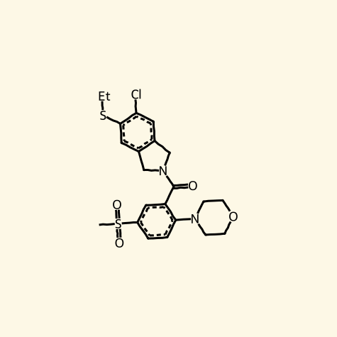 CCSc1cc2c(cc1Cl)CN(C(=O)c1cc(S(C)(=O)=O)ccc1N1CCOCC1)C2